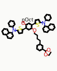 CCCCCCCCOc1cc(-c2ccc(N(c3ccccc3)c3cccc4ccccc34)s2)c(OCCCCc2cccc(C3OCCO3)c2)cc1-c1ccc(N(c2ccccc2)c2cccc3ccccc23)s1